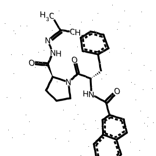 CC(C)=NNC(=O)[C@@H]1CCCN1C(=O)[C@H](Cc1ccccc1)NC(=O)c1ccc2ccccc2c1